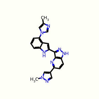 Cc1cn(-c2cccc3[nH]c(-c4n[nH]c5ccc(-c6cnn(C)c6)nc45)cc23)cn1